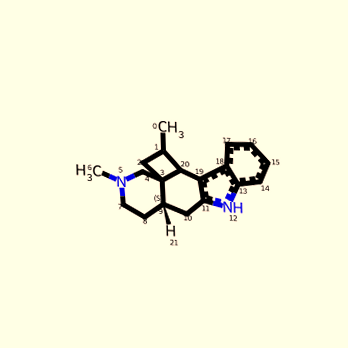 CC1CC23CN(C)CC[C@H]2Cc2[nH]c4ccccc4c2C13